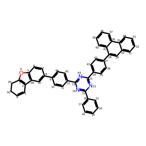 C1=Cc2c(oc3ccc(-c4ccc(-c5nc(-c6ccccc6)nc(-c6ccc(-c7cc8ccccc8c8ccccc78)cc6)n5)cc4)cc23)CC1